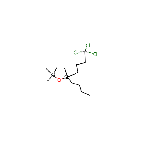 CCCC[Si](C)(CCCC(Cl)(Cl)Cl)O[Si](C)(C)C